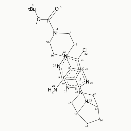 CC(C)(C)OC(=O)N1CCN(c2cnc(N3C4CCC3CN(c3cc(Cl)nnc3N)C4)nc2)CC1